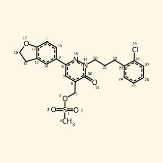 CS(=O)(=O)OCc1cc(-c2ccc3c(c2)CCO3)nn(CCCc2ccccc2Cl)c1=O